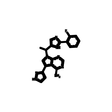 CC(c1cnc(-c2ccccc2F)[nH]1)n1cc(-c2cc[nH]n2)c2c(N)ncnc21